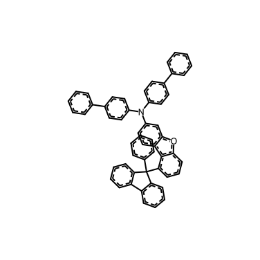 c1ccc(-c2ccc(N(c3ccc(-c4ccccc4)cc3)c3ccc4c(c3)oc3cccc(C5(c6ccccc6)c6ccccc6-c6ccccc65)c34)cc2)cc1